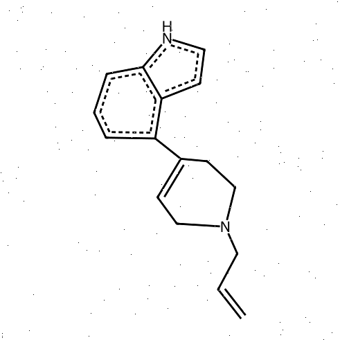 C=CCN1CC=C(c2cccc3[nH]ccc23)CC1